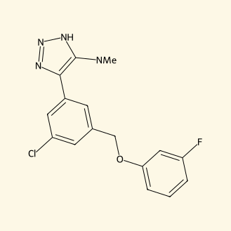 CNc1[nH]nnc1-c1cc(Cl)cc(COc2cccc(F)c2)c1